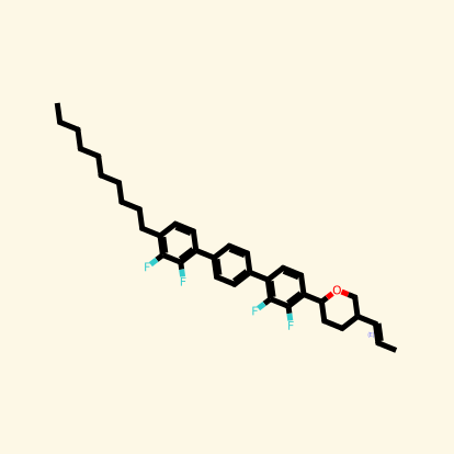 C/C=C/C1CCC(c2ccc(-c3ccc(-c4ccc(CCCCCCCCCC)c(F)c4F)cc3)c(F)c2F)OC1